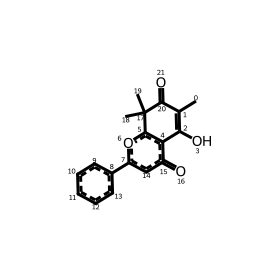 CC1=C(O)c2c(oc(-c3ccccc3)cc2=O)C(C)(C)C1=O